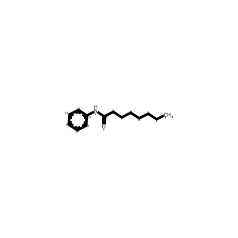 CCCCCCCC(=O)Nc1cc[c]cc1